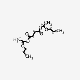 CCCOC(C)OC(=O)CCC(=O)OC(C)OCCC